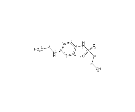 O=C(O)CNc1ccc(NS(=O)(=O)CCO)cc1